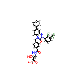 O=C(NC[C@@H](O)C(=O)O)c1ccc(CN(C(=O)Nc2cccc(C(F)(F)F)c2Cl)c2ccc(C3CCCCC3)cc2)cc1